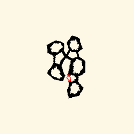 c1ccc2c(c1)-c1ccccc1C21c2ccccc2-c2ccc3c(oc4ccccc43)c21